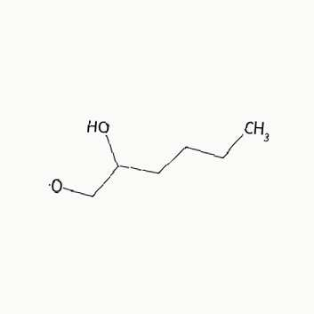 CCCCC(O)C[O]